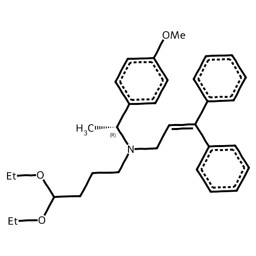 CCOC(CCCN(CC=C(c1ccccc1)c1ccccc1)[C@H](C)c1ccc(OC)cc1)OCC